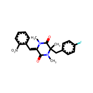 CN1C(=O)C(C)(Cc2ccc(F)cc2)N(C)C(=O)C1=Cc1ccccc1[N+](=O)[O-]